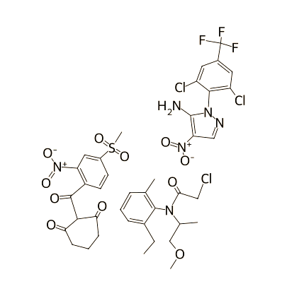 CCc1cccc(C)c1N(C(=O)CCl)C(C)COC.CS(=O)(=O)c1ccc(C(=O)C2C(=O)CCCC2=O)c([N+](=O)[O-])c1.Nc1c([N+](=O)[O-])cnn1-c1c(Cl)cc(C(F)(F)F)cc1Cl